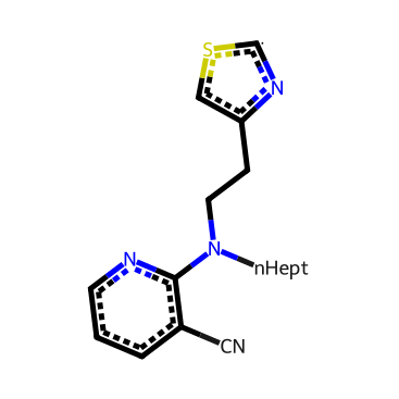 CCCCCCCN(CCc1cs[c]n1)c1ncccc1C#N